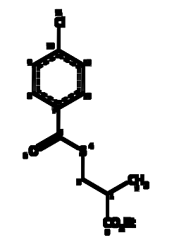 CCOC(=O)C(C)CSC(=O)c1ccc(Cl)cc1